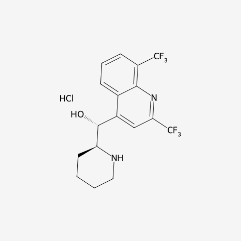 Cl.O[C@H](c1cc(C(F)(F)F)nc2c(C(F)(F)F)cccc12)[C@@H]1CCCCN1